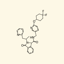 CC(Cc1ccccn1)N1C(=O)c2ccccc2C1C(=O)NCc1ccc(OC2CCC(F)(F)CC2)nc1